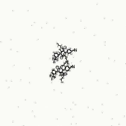 CCCN1CC2=C(C1=O)[C@@H](c1ccc(C#N)cc1)N(CCCN(C)CCCN1C(=O)N(c3cccc(C(F)(F)F)c3)C3=C(C(=O)N(CCC)C3)[C@H]1c1ccc(C#N)cc1)C(=O)N2c1cccc(C(F)(F)F)c1